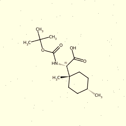 CC(C)(C)OC(=O)N[C@H](C(=O)O)[C@]1(C)CC[C@H](C)CC1